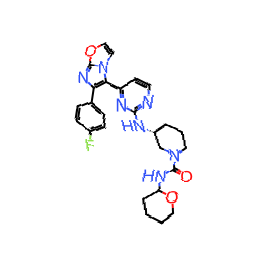 O=C(NC1CCCCO1)N1CCC[C@@H](Nc2nccc(-c3c(-c4ccc(F)cc4)nc4occn34)n2)C1